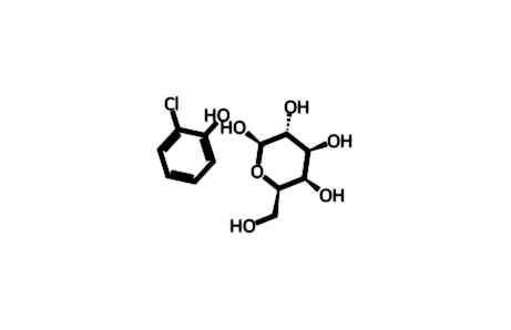 OC[C@H]1O[C@@H](O)[C@H](O)[C@@H](O)[C@H]1O.Oc1ccccc1Cl